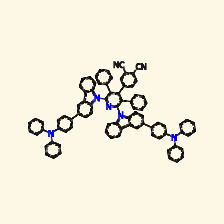 N#Cc1ccc(-c2c(-c3ccccc3)c(-n3c4ccccc4c4cc(-c5ccc(N(c6ccccc6)c6ccccc6)cc5)ccc43)nc(-n3c4ccccc4c4cc(-c5ccc(N(c6ccccc6)c6ccccc6)cc5)ccc43)c2-c2ccccc2)cc1C#N